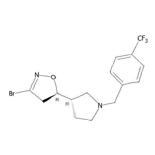 FC(F)(F)c1ccc(CN2CC[C@H]([C@H]3CC(Br)=NO3)C2)cc1